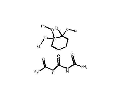 CCOC1(CC)CCCC[Si]1(OCC)OCC.NC(=O)NC(=O)NC(N)=O